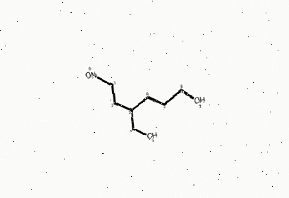 O=NCCC(CO)CCCO